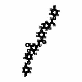 Cc1ccc(COc2ccc(Oc3c(C)cc(/C=C/C(=O)N4CCN(Cc5ccc(C(C)COc6ccc(C)cc6)cc5)CC4)cc3Cl)nc2)cc1